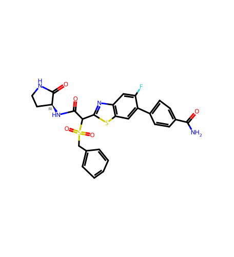 NC(=O)c1ccc(-c2cc3sc(C(C(=O)N[C@H]4CCNC4=O)S(=O)(=O)Cc4ccccc4)nc3cc2F)cc1